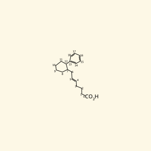 O=C(O)CCCC=CCC1CCCCC1c1ccccc1